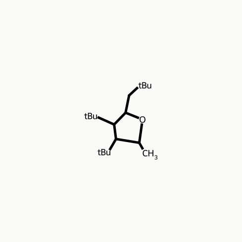 CC1OC(CC(C)(C)C)C(C(C)(C)C)C1C(C)(C)C